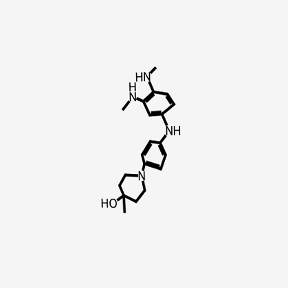 CNc1ccc(Nc2ccc(N3CCC(C)(O)CC3)cc2)cc1NC